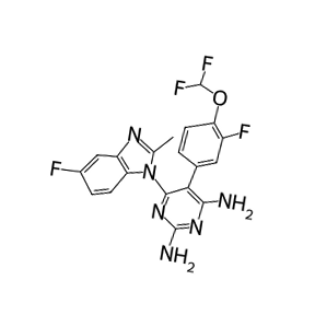 Cc1nc2cc(F)ccc2n1-c1nc(N)nc(N)c1-c1ccc(OC(F)F)c(F)c1